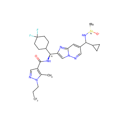 Cc1c(C(=O)N[C@H](c2cn3ncc(C(N[S@@+]([O-])C(C)(C)C)C4CC4)cc3n2)C2CCC(F)(F)CC2)cnn1CCC(F)(F)F